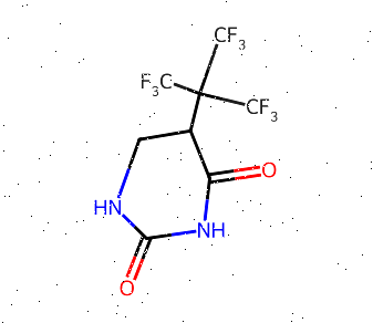 O=C1NCC(C(C(F)(F)F)(C(F)(F)F)C(F)(F)F)C(=O)N1